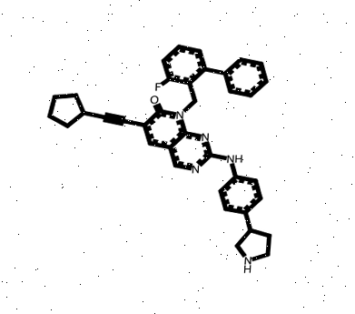 O=c1c(C#CC2CCCC2)cc2cnc(Nc3ccc(C4CCNC4)cc3)nc2n1Cc1c(F)cccc1-c1ccccc1